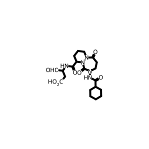 O=CC(CC(=O)O)NC(=O)C1CCCN2C(=O)CCN(NC(=O)C3CCCCC3)C(=O)N12